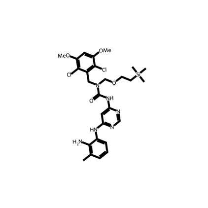 COc1cc(OC)c(Cl)c(CN(COCC[Si](C)(C)C)C(=O)Nc2cc(Nc3cccc(C)c3N)ncn2)c1Cl